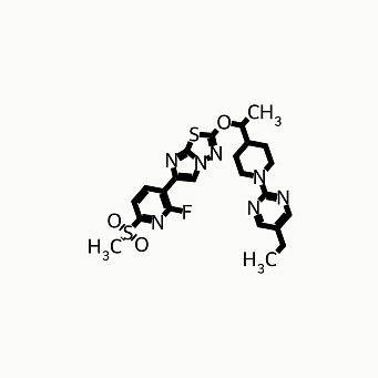 CCc1cnc(N2CCC(C(C)Oc3nn4cc(-c5ccc(S(C)(=O)=O)nc5F)nc4s3)CC2)nc1